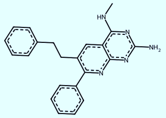 CNc1nc(N)nc2nc(-c3ccccc3)c(CCc3ccccc3)cc12